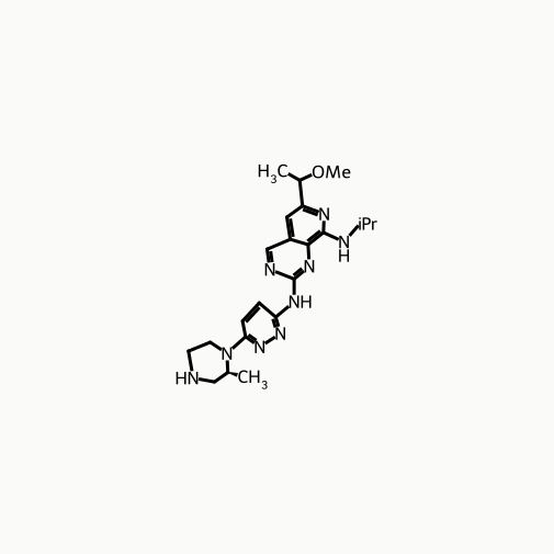 COC(C)c1cc2cnc(Nc3ccc(N4CCNC[C@@H]4C)nn3)nc2c(NC(C)C)n1